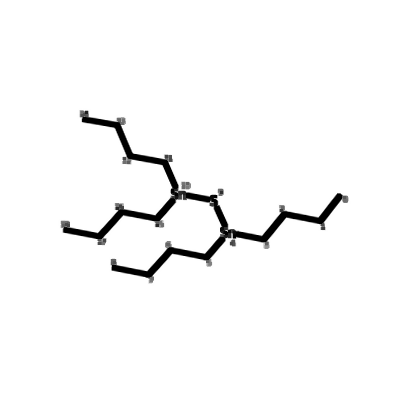 CCC[CH2][Sn]([CH2]CCC)[S][Sn]([CH2]CCC)[CH2]CCC